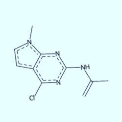 C=C(C)Nc1nc(Cl)c2ccn(C)c2n1